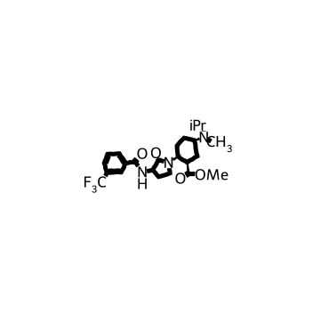 COC(=O)[C@@H]1C[C@H](N(C)C(C)C)CC[C@@H]1N1CCC(NC(=O)c2cccc(C(F)(F)F)c2)C1=O